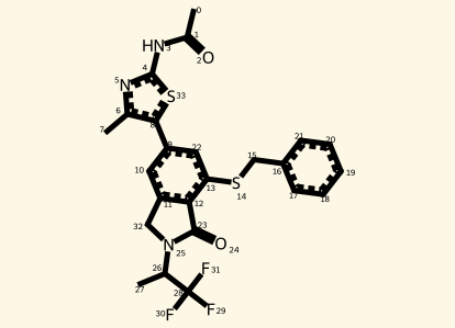 CC(=O)Nc1nc(C)c(-c2cc3c(c(SCc4ccccc4)c2)C(=O)N(C(C)C(F)(F)F)C3)s1